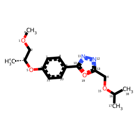 COC[C@@H](C)Oc1ccc(-c2nnc(COC(C)C)o2)cc1